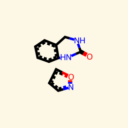 O=C1NCc2ccccc2N1.c1cnoc1